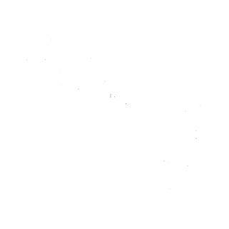 CC(C)(C)c1ccc(C(=O)N/N=C/c2cc(C(C)(C)C)c(O)c(C(C)(C)C)c2)cc1